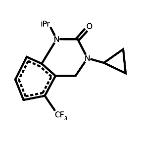 CC(C)N1C(=O)N(C2CC2)Cc2c1cccc2C(F)(F)F